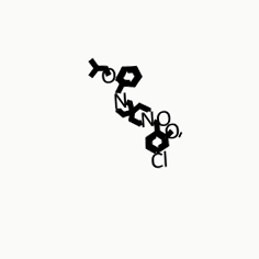 COc1cc(Cl)ccc1C(=O)N1CCC2(CCN(Cc3ccccc3OCC(C)C)C2)CC1